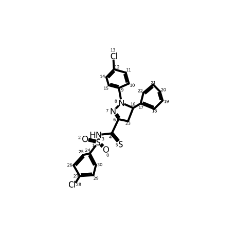 O=S(=O)(NC(=S)C1=NN(c2ccc(Cl)cc2)C(c2ccccc2)C1)c1ccc(Cl)cc1